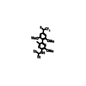 CCC(CC)Nc1nc(C)c(-c2c(OC)cc(C(F)C(F)(F)F)cc2OC)nc1OC